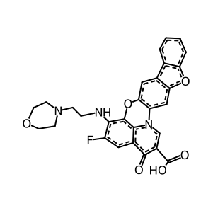 O=C(O)c1cn2c3c(c(NCCN4CCOCC4)c(F)cc3c1=O)Oc1cc3c(cc1-2)oc1ccccc13